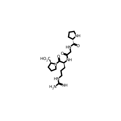 N=C(N)NCCC[C@H](NC(=O)CNC(=O)[C@@H]1CCCN1)C(=O)N1CCC[C@H]1C(=O)O